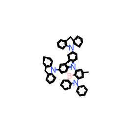 Cc1cc2c3c(c1)-n1c4ccc(N5c6ccccc6Cc6ccccc65)cc4c4cc(N5c6ccccc6Cc6ccccc65)cc(c41)B3c1ccccc1N2c1ccccc1